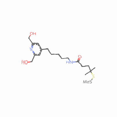 CSSC(C)(C)CCC(=O)NCCCCCc1cc(CO)nc(CO)c1